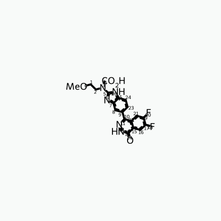 COCCN(C(=O)O)c1nc2cc(-c3n[nH]c(=O)c4cc(F)c(F)cc34)ccc2[nH]1